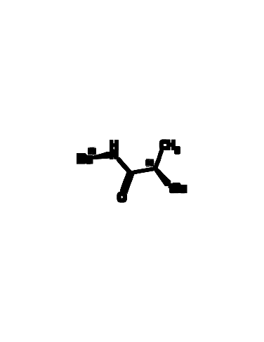 CC[C@H](C)NC(=O)[C@@H](C)C(C)(C)C